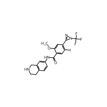 COc1cc(C2=NN2C(F)(F)F)c(I)cc1C(=O)Nc1ccc2c(c1)CNCC2